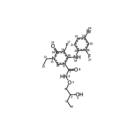 CCC(O)CONC(=O)c1cn(CC)c(=O)c(F)c1Nc1ccc(Br)cc1F